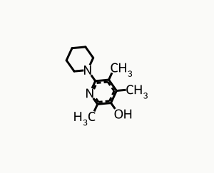 Cc1nc(N2CCCCC2)c(C)c(C)c1O